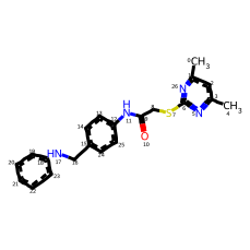 Cc1cc(C)nc(SCC(=O)Nc2ccc(CNc3ccccc3)cc2)n1